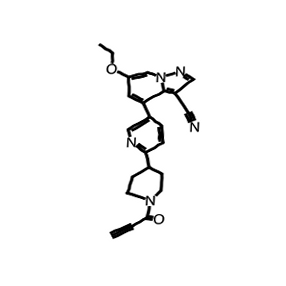 C#CC(=O)N1CCC(c2ccc(-c3cc(OCC)cn4ncc(C#N)c34)cn2)CC1